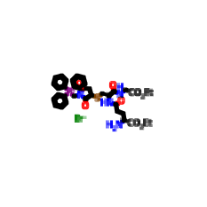 CCOC(=O)CNC(=O)[C@H](CSC1CC(=O)N(C[P+](c2ccccc2)(c2ccccc2)c2ccccc2)C1=O)NC(=O)CC[C@H](N)C(=O)OCC.[Br-]